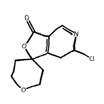 O=C1OC2(CCOCC2)C2=C1C=NC(Cl)C2